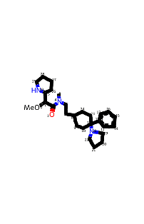 COC(C(=O)N(C)CCC1CCC(c2ccccc2)(N2CCCC2)CC1)C1CCCCN1